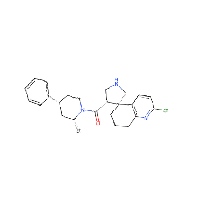 CC[C@@H]1C[C@H](c2ccccc2)CCN1C(=O)[C@@H]1CNC[C@]12CCCc1nc(Cl)ccc12